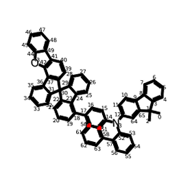 CC1(C)c2ccccc2-c2ccc(N(c3ccc(-c4cccc5c4-c4ccccc4C54c5ccccc5-c5c4ccc4c5oc5ccccc54)cc3)c3ccccc3-c3ccccc3)cc21